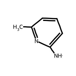 Cc1cccc([NH])n1